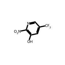 O=[N+]([O-])c1ncc(C(F)(F)F)cc1O